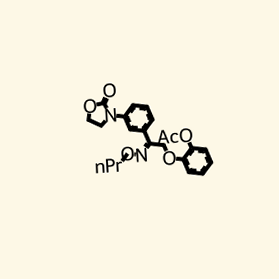 CCCON=C(COc1ccccc1OC(C)=O)c1cccc(N2CCOC2=O)c1